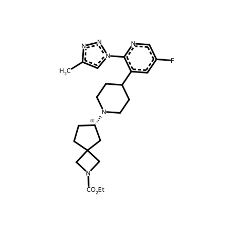 CCOC(=O)N1CC2(CC[C@H](N3CCC(c4cc(F)cnc4-n4cc(C)nn4)CC3)C2)C1